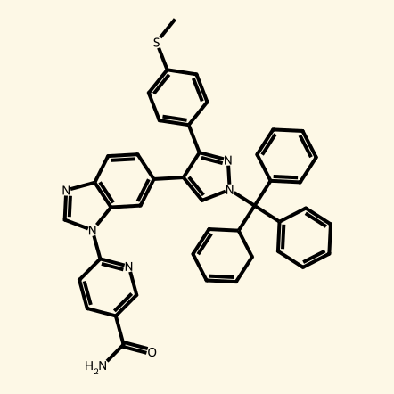 CSc1ccc(-c2nn(C(c3ccccc3)(c3ccccc3)C3C=CC=CC3)cc2-c2ccc3ncn(-c4ccc(C(N)=O)cn4)c3c2)cc1